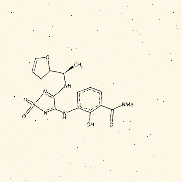 CNC(=O)c1cccc(NC2=NS(=O)(=O)N=C2N[C@H](C)C2CC=CO2)c1O